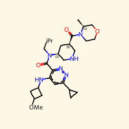 COC1CC(Nc2cc(C3CC3)nnc2C(=O)N(CC(C)C)[C@@H]2CNC[C@H](C(=O)N3CCOC[C@@H]3C)C2)C1